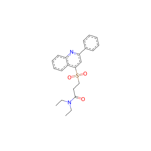 CCN(CC)C(=O)CCS(=O)(=O)c1cc(-c2ccccc2)nc2ccccc12